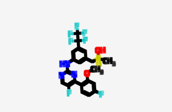 COc1cc(F)ccc1-c1nc(Nc2cc(C[SH](C)O)cc(C(F)(F)C(F)(F)F)c2)ncc1F